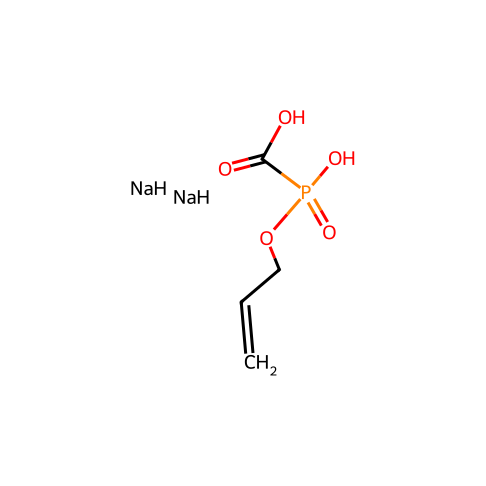 C=CCOP(=O)(O)C(=O)O.[NaH].[NaH]